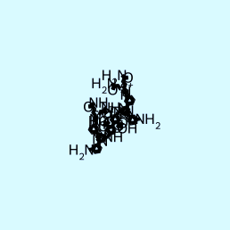 NC(=O)CC[S+](CCC(N)=O)N=Nc1cccc(-c2nc(Nc3ccc(-c4ccc(Nc5nc(-c6cccc(N)c6)nc(-c6cccc(N=N[S+](CCC(N)=O)CCC(N)=O)c6)n5)cc4S(=O)(=O)O)c(S(=O)(=O)O)c3)nc(-c3cccc(N)c3)n2)c1